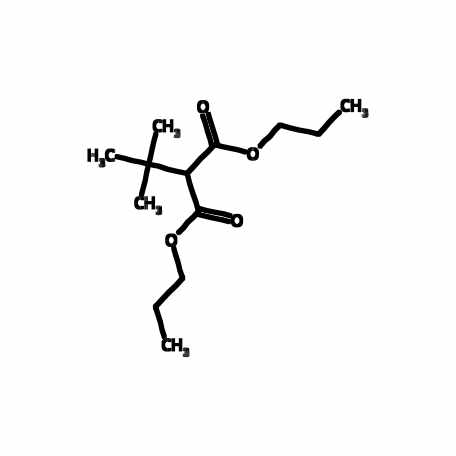 CCCOC(=O)C(C(=O)OCCC)C(C)(C)C